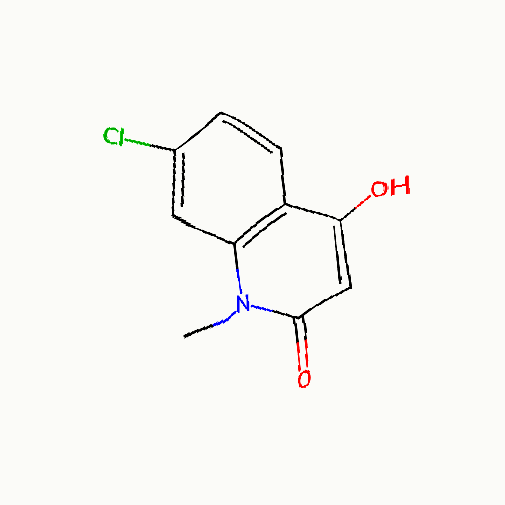 Cn1c(=O)cc(O)c2ccc(Cl)cc21